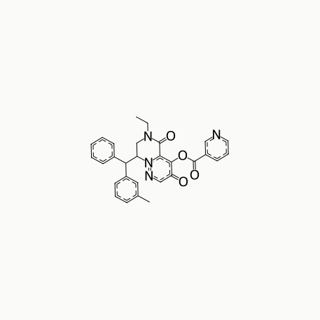 CCN1CC(C(c2ccccc2)c2cccc(C)c2)n2ncc(=O)c(OC(=O)c3cccnc3)c2C1=O